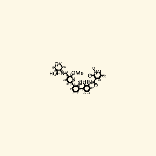 COc1nc(-c2cccc(-c3cccc(NC(=O)c4cc(C)nn(C)c4=O)c3Cl)c2Cl)ccc1CNC1CCOCC1O